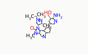 Cc1nn(C(C)C)cc1-n1c(=O)n(C)c2cnc3ccc(-c4cnc(N)c(CO)c4)cc3c21